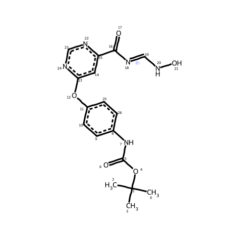 CC(C)(C)OC(=O)Nc1ccc(Oc2cc(C(=O)/N=C/NO)ncn2)cc1